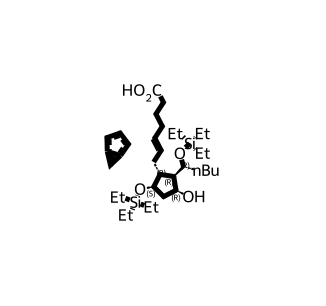 CCCC[C@@H](O[Si](CC)(CC)CC)[C@@H]1[C@@H](CC=CCCCC(=O)O)[C@@H](O[Si](CC)(CC)CC)C[C@H]1O.c1cc2cc-2c1